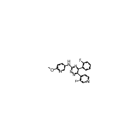 COc1ccc(Nc2nnc(-c3ccncc3F)c(-c3ccccc3F)n2)cn1